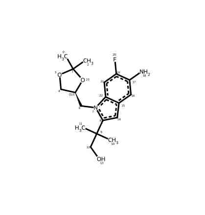 CC1(C)OC[C@H](Cn2c(C(C)(C)CO)cc3cc(N)c(F)cc32)O1